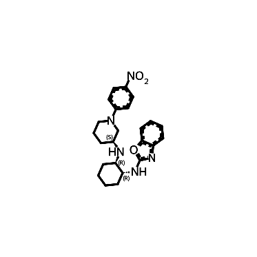 O=[N+]([O-])c1ccc(N2CCC[C@H](N[C@@H]3CCCC[C@H]3Nc3nc4ccccc4o3)C2)cc1